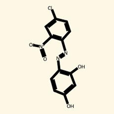 O=[N+]([O-])c1cc(Cl)ccc1N=Nc1ccc(O)cc1O